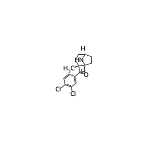 C[C@@]1(C(=O)c2ccc(Cl)c(Cl)c2)CC[C@H]2CC[C@H]1N2